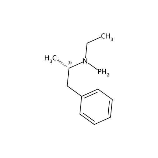 CCN(P)[C@@H](C)Cc1ccccc1